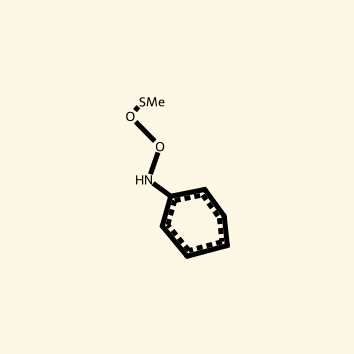 CSOONc1ccccc1